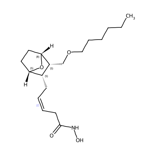 CCCCCCOC[C@@H]1[C@H](C/C=C\CC(=O)NO)[C@@H]2CC[C@H]1O2